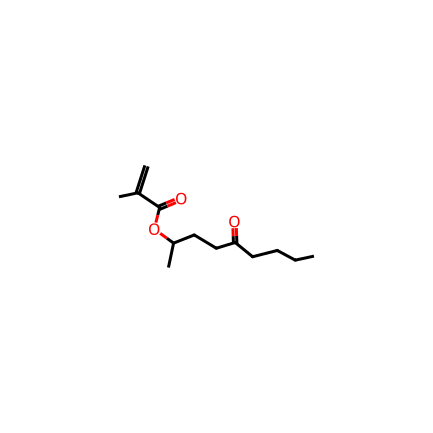 C=C(C)C(=O)OC(C)CCC(=O)CCCC